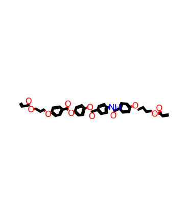 C=CC(=O)OCCCCOc1ccc(C(=O)Nc2ccc(C(=O)Oc3ccc(OC(=O)c4ccc(OCCCOC(=O)C=C)cc4)cc3)cc2)cc1